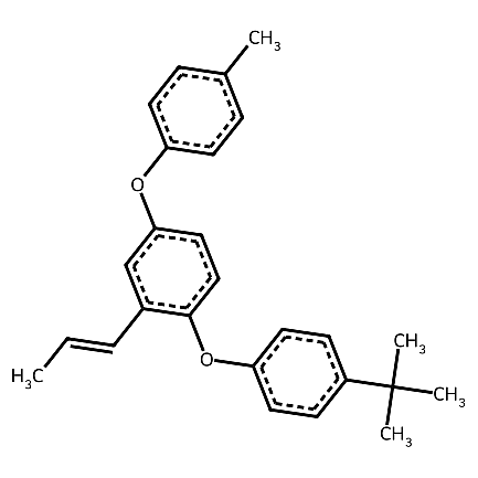 C/C=C/c1cc(Oc2ccc(C)cc2)ccc1Oc1ccc(C(C)(C)C)cc1